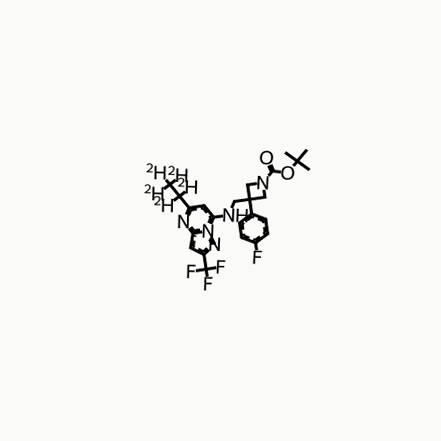 [2H]C([2H])([2H])C([2H])([2H])c1cc(NCC2(c3ccc(F)cc3)CN(C(=O)OC(C)(C)C)C2)n2nc(C(F)(F)F)cc2n1